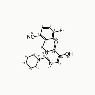 N#Cc1ccc(F)cc1Cn1c(N2CCCCC2)ncc(O)c1=O